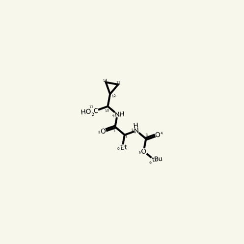 CCC(NC(=O)OC(C)(C)C)C(=O)NC(C(=O)O)C1CC1